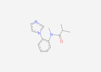 CC(C)C(=O)N(C)c1ccccc1-n1ccnc1